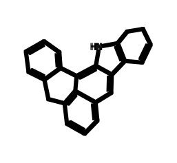 C1=Cc2c([nH]c3c4c5c(cccc5cc23)Cc2ccccc2-4)CC1